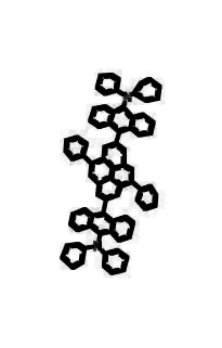 c1ccc(-c2cc3cc(-c4c5ccccc5c(N(c5ccccc5)c5ccccc5)c5ccccc45)cc4c(-c5ccccc5)cc5cc(-c6c7ccccc7c(N(c7ccccc7)c7ccccc7)c7ccccc67)cc2c5c34)cc1